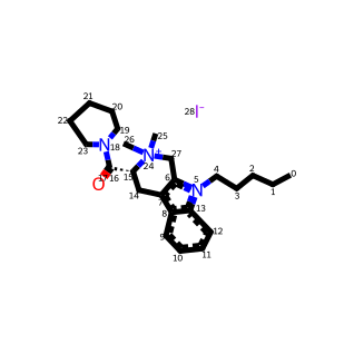 CCCCCn1c2c(c3ccccc31)C[C@H](C(=O)N1CCCCC1)[N+](C)(C)C2.[I-]